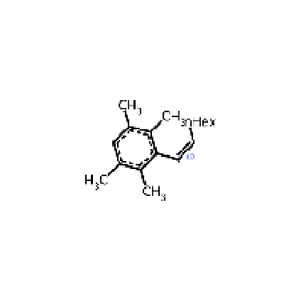 CCCCCC/C=[C]\c1c(C)c(C)cc(C)c1C